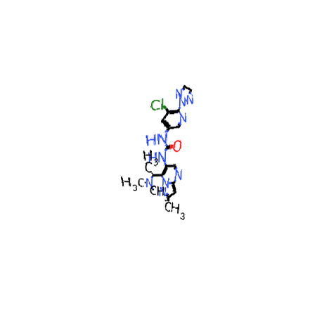 Cc1cc2ncc(NC(=O)Nc3cnc(-n4nccn4)c(Cl)c3)c([C@@H](C)N(C)C)n2n1